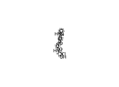 O=C(NC1=CCC(O)C(Cl)=C1)[C@@H]1CCN(CC(=O)N2CCN(c3nc4ccccc4[nH]3)CC2)C1